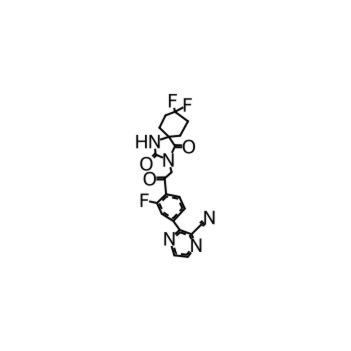 N#Cc1nccnc1-c1ccc(C(=O)CN2C(=O)NC3(CCC(F)(F)CC3)C2=O)c(F)c1